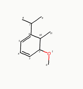 COC1C=CC=C(C(C)C)C1C